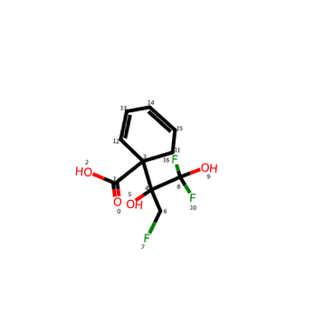 O=C(O)C1(C(O)(CF)C(O)(F)F)C=CC=CC1